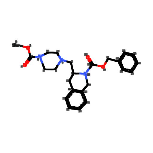 CC(C)(C)OC(=O)N1CCN(CC2Cc3ccccc3CN2C(=O)OCc2ccccc2)CC1